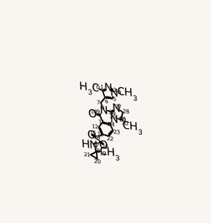 Cc1nn(C)cc1CN1C(=O)c2cc(S(=O)(=O)NC3(C)CC3)ccc2N2C1=NC[C@H]2C